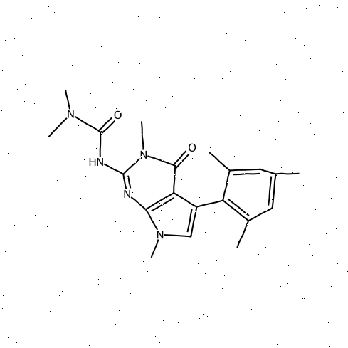 Cc1cc(C)c(-c2cn(C)c3nc(NC(=O)N(C)C)n(C)c(=O)c23)c(C)c1